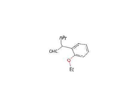 [CH2]CCC(C=O)c1ccccc1OCC